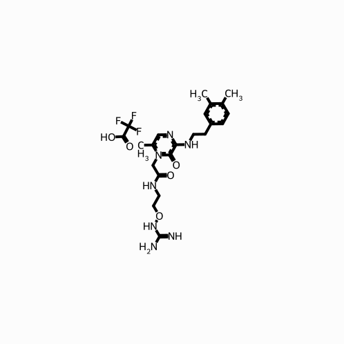 Cc1ccc(CCNc2ncc(C)n(CC(=O)NCCONC(=N)N)c2=O)cc1C.O=C(O)C(F)(F)F